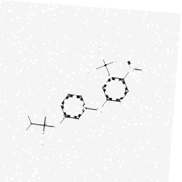 O=[N+]([O-])c1ccc(Nc2cccc(OC(F)(F)C(F)F)c2)cc1C(F)(F)F